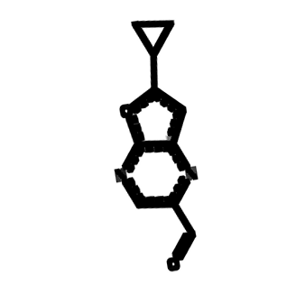 O=Cc1cnc2oc(C3CC3)cc2n1